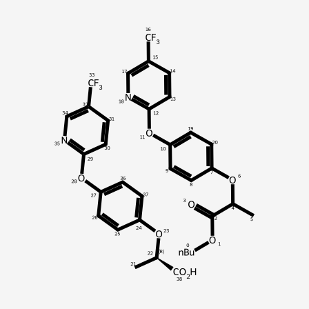 CCCCOC(=O)C(C)Oc1ccc(Oc2ccc(C(F)(F)F)cn2)cc1.C[C@@H](Oc1ccc(Oc2ccc(C(F)(F)F)cn2)cc1)C(=O)O